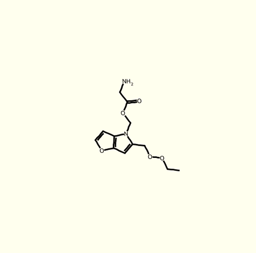 CCOOCc1cc2occc2n1COC(=O)CN